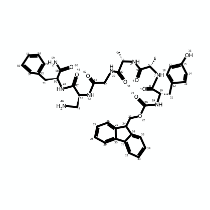 C[C@H](NC(=O)[C@H](C)NC(=O)[C@H](Cc1ccc(O)cc1)NC(=O)OCC1c2ccccc2-c2ccccc21)C(=O)NCC(=O)N[C@@H](CN)C(=O)N[C@@H](Cc1ccccc1)C(N)=O